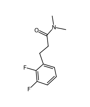 CN(C)C(=O)CCc1cccc(F)c1F